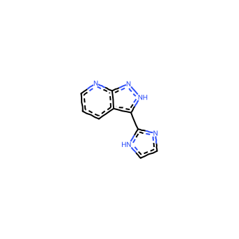 c1cnc2n[nH]c(-c3ncc[nH]3)c2c1